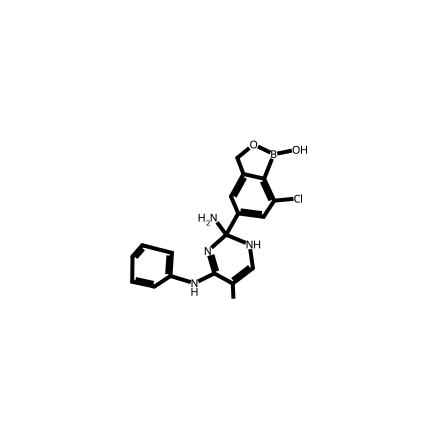 CC1=CNC(N)(c2cc(Cl)c3c(c2)COB3O)N=C1Nc1ccccc1